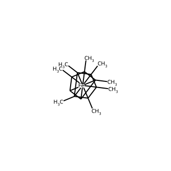 C[C]12[CH]3[CH]4[C]5(C)[C]1(C)[Fe]34251678[C]2(C)[C]1(C)[C]6(C)[C]7(C)[C]28C